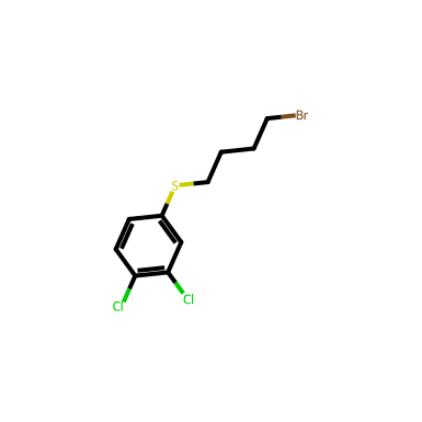 Clc1ccc(SCCCCBr)cc1Cl